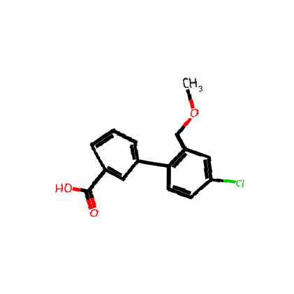 COCc1cc(Cl)ccc1-c1cccc(C(=O)O)c1